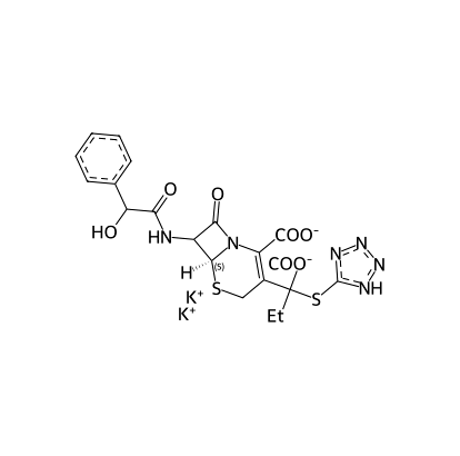 CCC(Sc1nnn[nH]1)(C(=O)[O-])C1=C(C(=O)[O-])N2C(=O)C(NC(=O)C(O)c3ccccc3)[C@@H]2SC1.[K+].[K+]